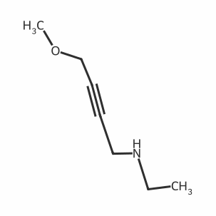 CCNCC#CCOC